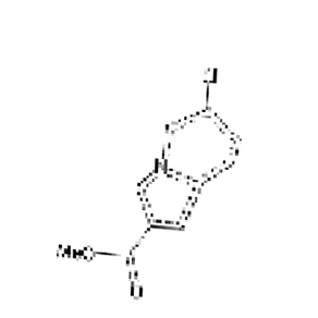 COC(=O)c1cc2ccc(Cl)cn2c1